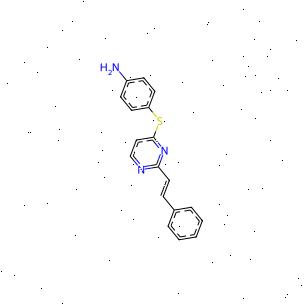 Nc1ccc(Sc2ccnc(/C=C/c3ccccc3)n2)cc1